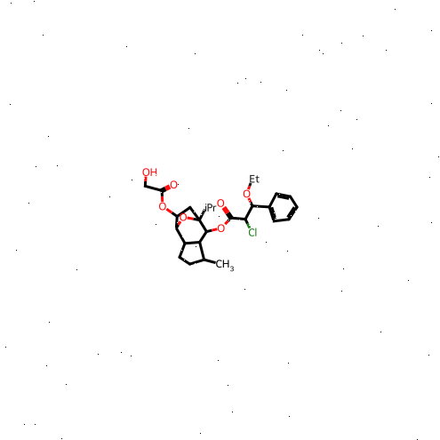 CCOC(c1ccccc1)C(Cl)C(=O)OC1C2C(C)CCC2C2OC1(C(C)C)CC2OC(=O)CO